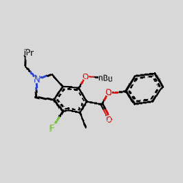 CCCCOc1c2c(c(F)c(C)c1C(=O)Oc1ccccc1)CN(CC(C)C)C2